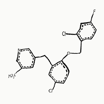 O=C(O)c1cncc(Cc2cc(Cl)ccc2OCc2ccc(F)cc2Cl)c1